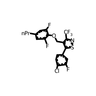 CCCc1cc(F)c(OCc2c(C(F)(F)F)nsc2-c2ccc(Cl)c(F)c2)c(F)c1